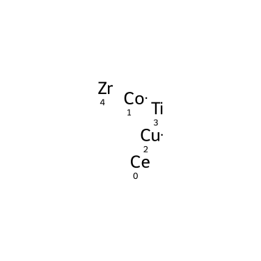 [Ce].[Co].[Cu].[Ti].[Zr]